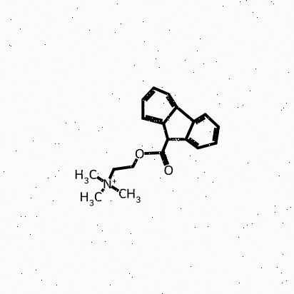 C[N+](C)(C)CCOC(=O)C1c2ccccc2-c2ccccc21